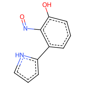 O=Nc1c(O)cccc1-c1ccc[nH]1